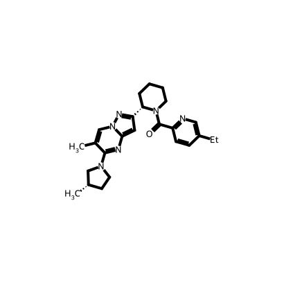 CCc1ccc(C(=O)N2CCCC[C@H]2c2cc3nc(N4CC[C@H](C)C4)c(C)cn3n2)nc1